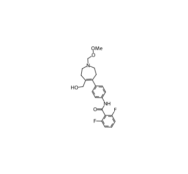 COOCN1CCC(CO)=C(c2ccc(NC(=O)c3c(F)cccc3F)cc2)CC1